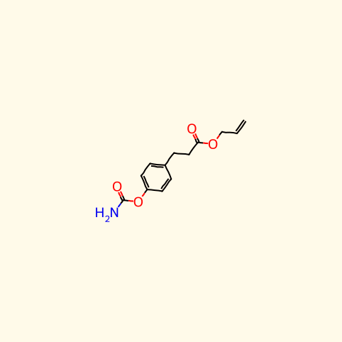 C=CCOC(=O)CCc1ccc(OC(N)=O)cc1